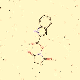 O=C(ON1C(=O)CCC1=O)c1cc2ccccc2[nH]1